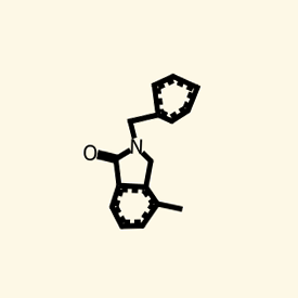 Cc1cccc2c1CN(Cc1ccccc1)C2=O